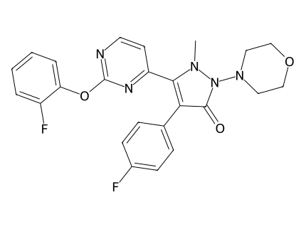 Cn1c(-c2ccnc(Oc3ccccc3F)n2)c(-c2ccc(F)cc2)c(=O)n1N1CCOCC1